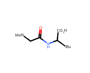 CCC(C)C(NC(=O)CNC)C(=O)O